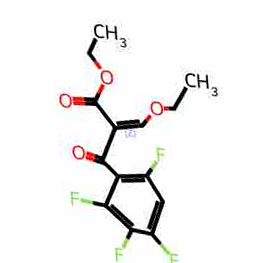 CCO/C=C(\C(=O)OCC)C(=O)c1c(F)cc(F)c(F)c1F